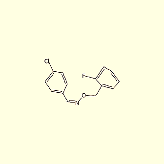 Fc1ccccc1CO/N=[C]\c1ccc(Cl)cc1